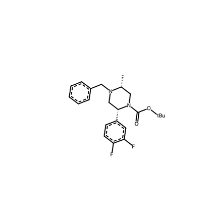 C[C@@H]1CN(C(=O)OC(C)(C)C)[C@H](c2ccc(F)c(F)c2)CN1Cc1ccccc1